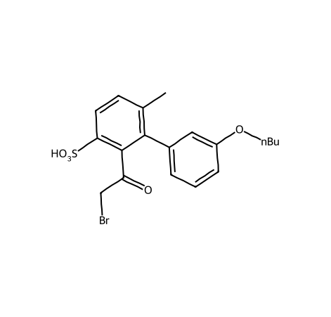 CCCCOc1cccc(-c2c(C)ccc(S(=O)(=O)O)c2C(=O)CBr)c1